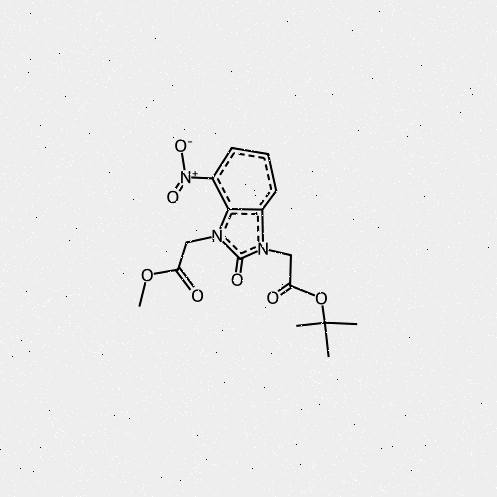 COC(=O)Cn1c(=O)n(CC(=O)OC(C)(C)C)c2cccc([N+](=O)[O-])c21